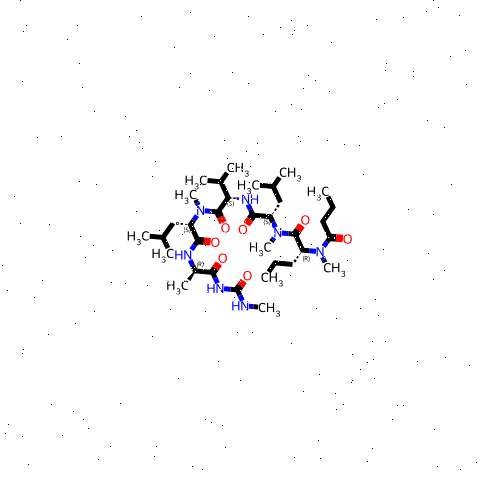 CCCC(=O)N(C)[C@H](CCC)C(=O)N(C)[C@@H](CC(C)C)C(=O)N[C@H](C(=O)N(C)[C@@H](CC(C)C)C(=O)N[C@H](C)C(=O)NC(=O)NC)C(C)C